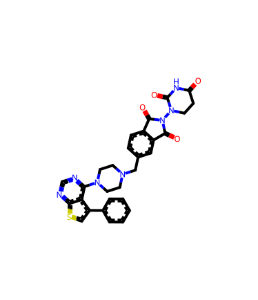 O=C1CCN(N2C(=O)c3ccc(CN4CCN(c5ncnc6scc(-c7ccccc7)c56)CC4)cc3C2=O)C(=O)N1